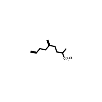 C=CCCC(=C)CCC(C)C(=O)OCC